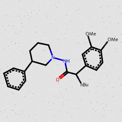 CCCCC(C(=O)NN1CCCC(c2ccccc2)C1)c1ccc(OC)c(OC)c1